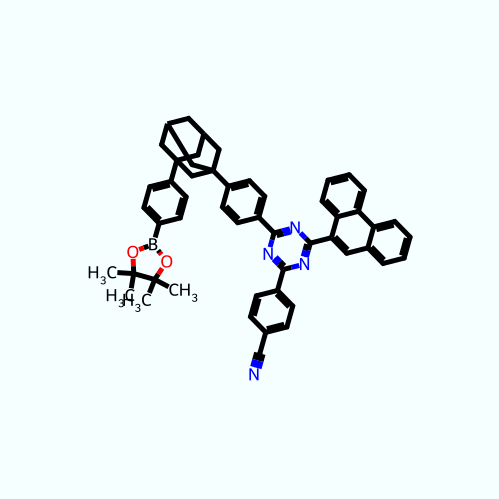 CC1(C)OB(c2ccc(C34CC5CC(C3)CC(c3ccc(-c6nc(-c7ccc(C#N)cc7)nc(-c7cc8ccccc8c8ccccc78)n6)cc3)(C5)C4)cc2)OC1(C)C